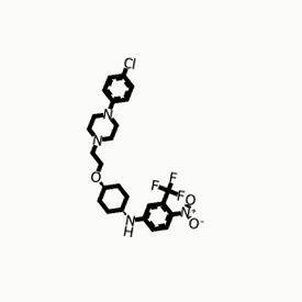 O=[N+]([O-])c1ccc(N[C@H]2CC[C@H](OCCN3CCN(c4ccc(Cl)cc4)CC3)CC2)cc1C(F)(F)F